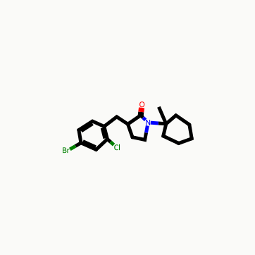 CC1(N2CCC(Cc3ccc(Br)cc3Cl)C2=O)CCCCC1